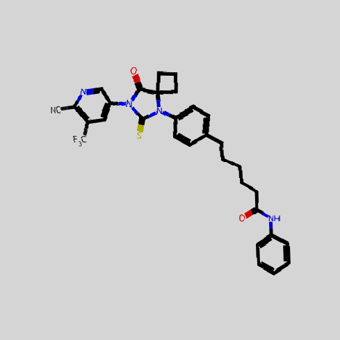 N#Cc1ncc(N2C(=O)C3(CCC3)N(c3ccc(CCCCCC(=O)Nc4ccccc4)cc3)C2=S)cc1C(F)(F)F